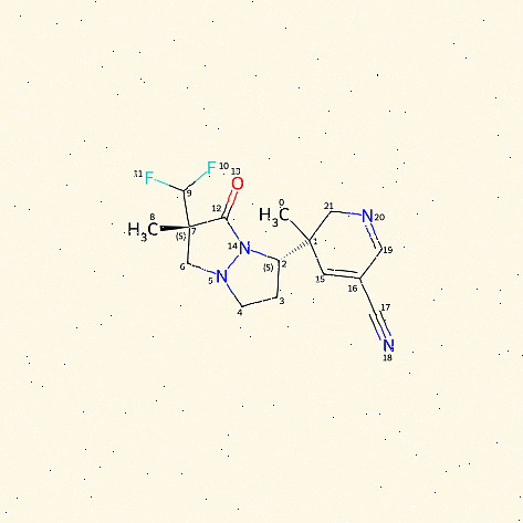 CC1([C@@H]2CCN3C[C@](C)(C(F)F)C(=O)N23)C=C(C#N)C=NC1